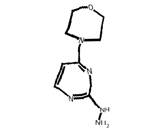 NNc1nccc(N2CCOCC2)n1